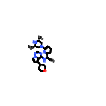 CC(Nc1ncnn2ccc(C3CCOCC3)c12)c1cccc(N2C[C@@H](C)N[C@@H](C)C2)n1